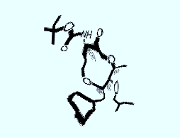 CC(C)CO[C@H]1[C@H](C)OC(=O)[C@@H](NC(=O)OC(C)(C)C)CCO[C@@H]1Cc1ccccc1